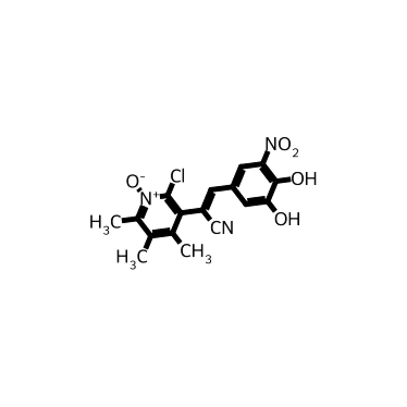 Cc1c(C)c(C)[n+]([O-])c(Cl)c1/C(C#N)=C/c1cc(O)c(O)c([N+](=O)[O-])c1